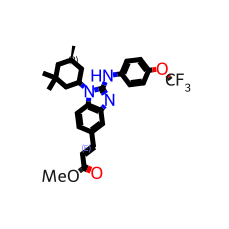 COC(=O)/C=C/c1ccc2c(c1)nc(Nc1ccc(OC(F)(F)F)cc1)n2C1C[C@H](C)CC(C)(C)C1